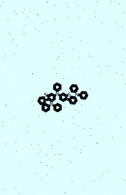 c1ccc(N(c2ccc3c(c2)sc2c(N(c4ccccc4)c4ccccc4)cccc23)c2cc(N(c3ccccc3)c3ccccc3)c3c(c2)sc2ccccc23)cc1